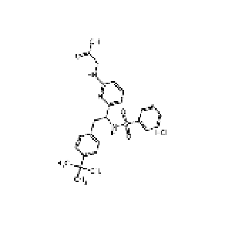 CC(C)(C)c1ccc(CC(NS(=O)(=O)c2cccnc2)c2cccc(NCC(=O)O)n2)cc1.Cl